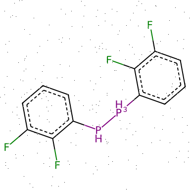 Fc1cccc(P[PH3]c2cccc(F)c2F)c1F